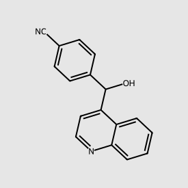 N#Cc1ccc(C(O)c2ccnc3ccccc23)cc1